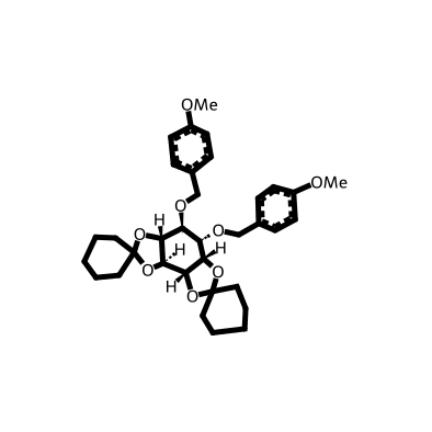 COc1ccc(CO[C@H]2[C@H](OCc3ccc(OC)cc3)[C@@H]3OC4(CCCCC4)O[C@@H]3[C@H]3OC4(CCCCC4)O[C@H]23)cc1